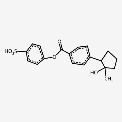 CC1(O)CCCC1c1ccc(C(=O)Oc2ccc(S(=O)(=O)O)cc2)cc1